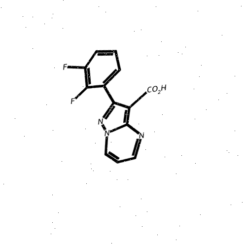 O=C(O)c1c(-c2cccc(F)c2F)nn2cccnc12